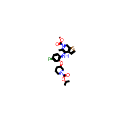 COC(=O)N1Cc2sccc2C(Nc2ccc(F)cc2OC2CCCN(C(=O)OC(C)C)C2)=C1C